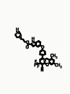 Cc1ccc(Cn2c(-c3ccc(Oc4ccc5[nH]c(C(=O)OCCCN6CCNCC6)cc5c4)cc3)cc(C(F)(F)F)c(C#N)c2=O)c(C)c1